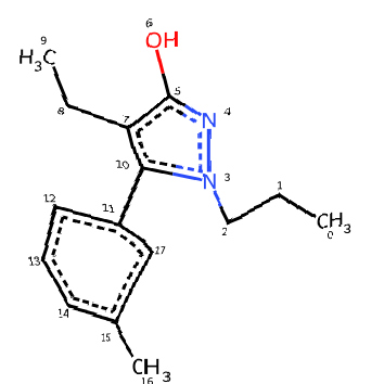 CCCn1nc(O)c(CC)c1-c1cccc(C)c1